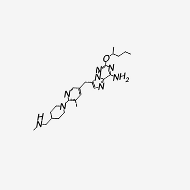 CCCC(C)Oc1nc(N)c2ncc(Cc3cnc(N4CCC(CNC)CC4)c(C)c3)n2n1